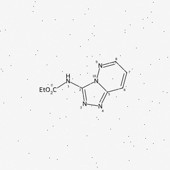 CCOC(=O)Nc1nnc2cc[c]nn12